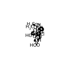 C[C@H]1C[C@@H](O)CN1c1nc(-c2c(F)cccc2OC(=O)OC(C)(C)C)c(Cl)c2c1C(=O)N1CCN(C(=O)O)C[C@@H]1CO2